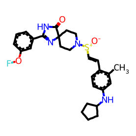 Cc1cc(NC2CCCC2)ccc1/C=C/[S+]([O-])N1CCC2(CC1)N=C(c1cccc(OF)c1)NC2=O